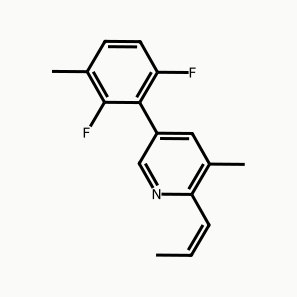 C/C=C\c1ncc(-c2c(F)ccc(C)c2F)cc1C